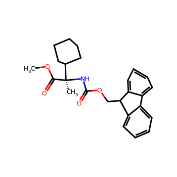 COC(=O)[C@](C)(NC(=O)OCC1c2ccccc2-c2ccccc21)C1CCCCC1